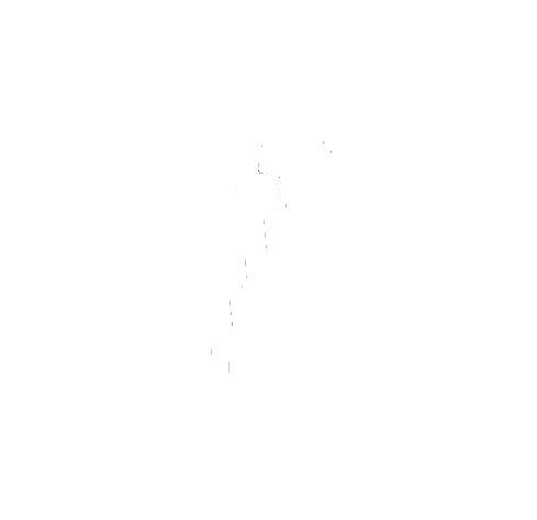 COCCOCCCC=C(C#N)C(=O)O